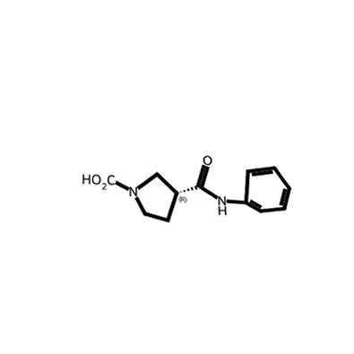 O=C(Nc1ccccc1)[C@@H]1CCN(C(=O)O)C1